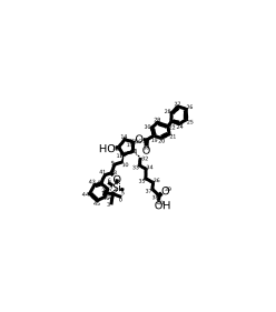 CC(C)(C)[Si](C)(C)OC(CC[C@H]1C(O)C[C@H](OC(=O)c2ccc(-c3ccccc3)cc2)[C@@H]1CCCCCCC(=O)O)Cc1ccccc1